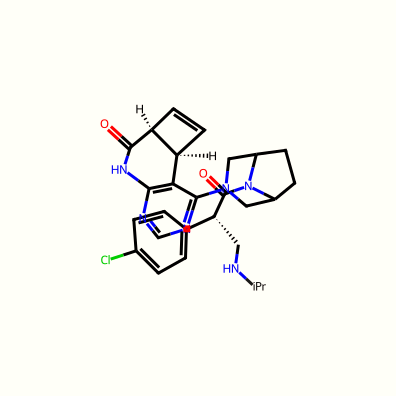 CC(C)NC[C@@H](C(=O)N1C2CCC1CN(c1ncnc3c1[C@@H]1C=C[C@@H]1C(=O)N3)C2)c1ccc(Cl)cc1